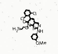 COc1cccc(Nc2ncc3cc(-c4c(Cl)cccc4Cl)c(=O)n(OCCN)c3n2)c1